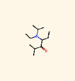 CCC(C(=O)C(C)C)N(CC)C(C)C